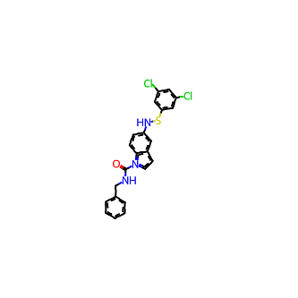 O=C(NCc1ccccc1)n1ccc2cc(NSc3cc(Cl)cc(Cl)c3)ccc21